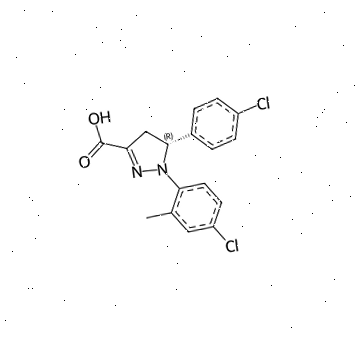 Cc1cc(Cl)ccc1N1N=C(C(=O)O)C[C@@H]1c1ccc(Cl)cc1